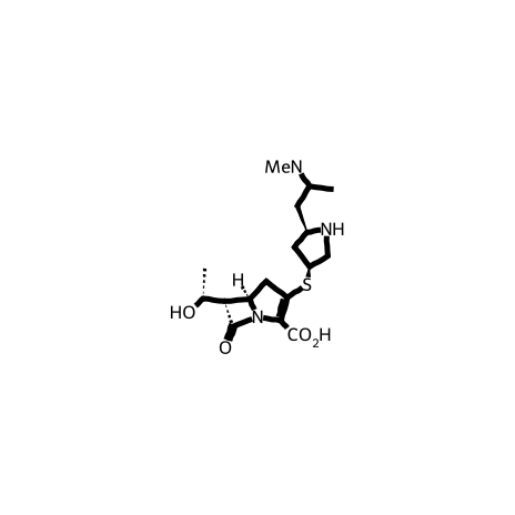 CNC(C)C[C@@H]1C[C@H](SC2=C(C(=O)O)N3C(=O)[C@H]([C@@H](C)O)[C@H]3C2)CN1